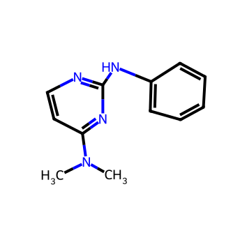 CN(C)c1ccnc(Nc2ccccc2)n1